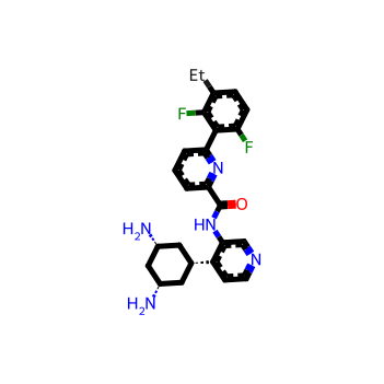 CCc1ccc(F)c(-c2cccc(C(=O)Nc3cnccc3[C@@H]3C[C@H](N)C[C@H](N)C3)n2)c1F